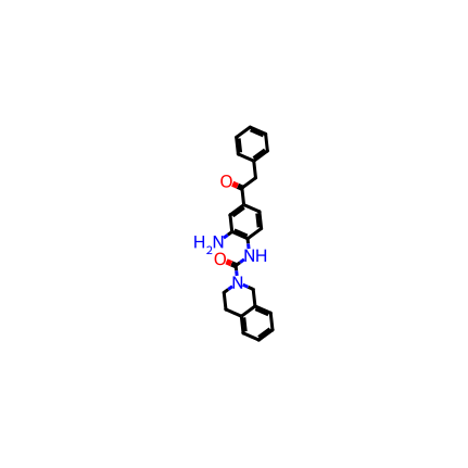 Nc1cc(C(=O)Cc2ccccc2)ccc1NC(=O)N1CCc2ccccc2C1